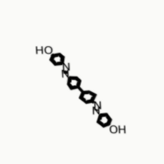 Oc1ccc(N=Nc2ccc(-c3ccc(N=Nc4ccc(O)cc4)cc3)cc2)cc1